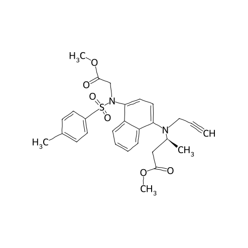 C#CCN(c1ccc(N(CC(=O)OC)S(=O)(=O)c2ccc(C)cc2)c2ccccc12)[C@@H](C)CC(=O)OC